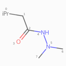 CC(C)CC(=O)NN(C)C